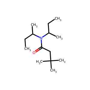 CCC(C)N(C(=O)CC(C)(C)C)C(C)CC